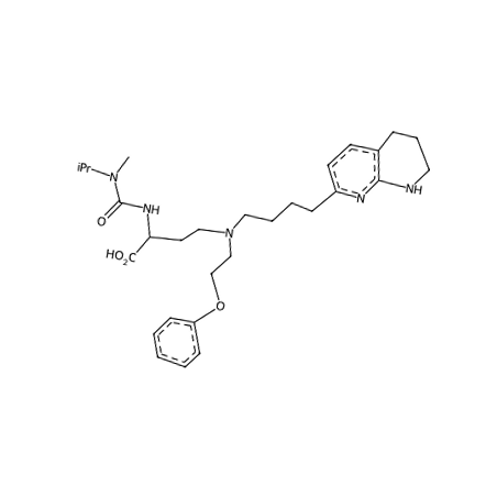 CC(C)N(C)C(=O)NC(CCN(CCCCc1ccc2c(n1)NCCC2)CCOc1ccccc1)C(=O)O